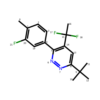 Cc1ccc(-c2nnc(C(C)(C)C)cc2C(C)(F)F)cc1F